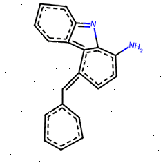 Nc1ccc(=Cc2ccccc2)c2c1N=c1ccccc1=2